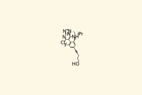 CC(C)[C@@H](C)Nc1c(-c2c(F)cc(C#CCCCO)cc2F)c(Cl)nc2ncnn12